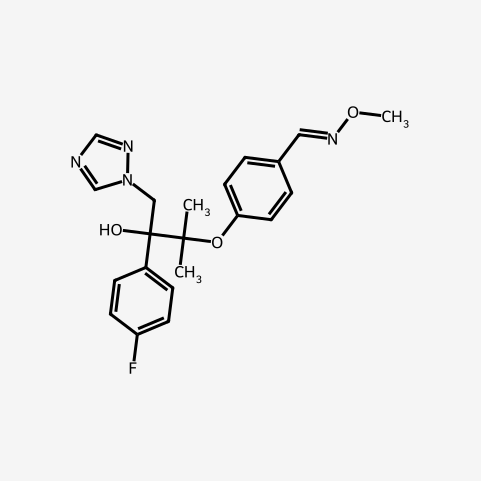 CON=Cc1ccc(OC(C)(C)C(O)(Cn2cncn2)c2ccc(F)cc2)cc1